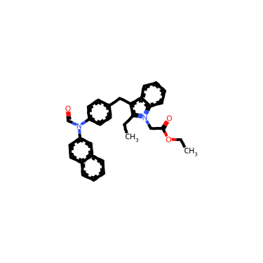 CCOC(=O)Cn1c(CC)c(Cc2ccc(N(C=O)c3ccc4ccccc4c3)cc2)c2ccccc21